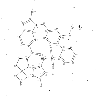 CCCc1nc2ccc(C(=O)N3CCC4(CNC4)C3)nc2n1Cc1ccc(-c2ccccc2S(=O)(=O)Nc2noc(C)c2C)c(COCC)c1